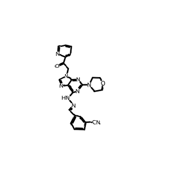 N#Cc1cccc(C=NNc2nc(N3CCOCC3)nc3c2ncn3CC(=O)c2ccccn2)c1